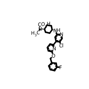 CN(C(=O)O)[C@H]1CC[C@H](Nc2cc(-c3cccc(OCc4cccc(F)c4)n3)c(Cl)cn2)CC1